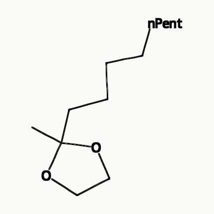 CCCCCCCCCC1(C)OCCO1